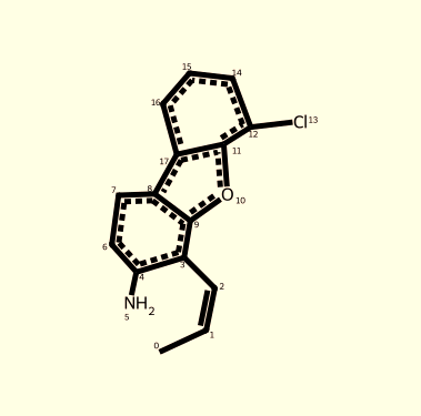 C/C=C\c1c(N)ccc2c1oc1c(Cl)cccc12